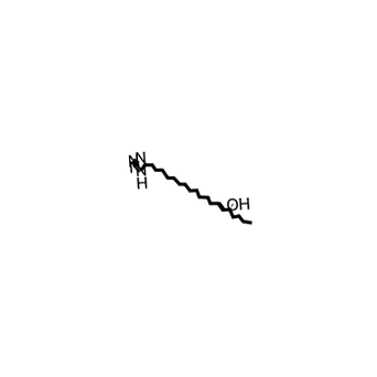 CCCC[C@@H](O)C=CCCCCCCCCCCCCc1nnn[nH]1